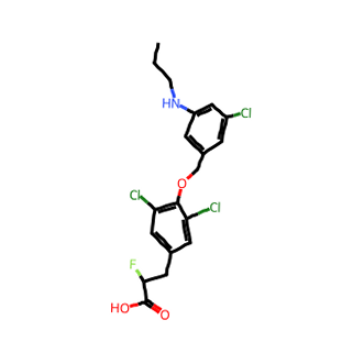 CCCNc1cc(Cl)cc(COc2c(Cl)cc(CC(F)C(=O)O)cc2Cl)c1